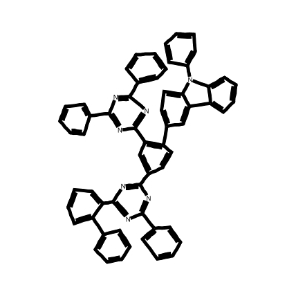 c1ccc(-c2nc(-c3ccc(-c4ccc5c(c4)c4ccccc4n5-c4ccccc4)c(-c4nc(-c5ccccc5)nc(-c5ccccc5)n4)c3)nc(-c3ccccc3-c3ccccc3)n2)cc1